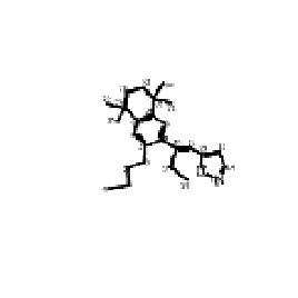 CCCCc1cc2c(cc1/C(=C/c1ccno1)CC)C(C)(C)CCC2(C)C